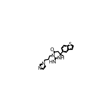 CC1(c2ccc3sccc3c2)CC(=O)N(CCCn2ccnc2)C(=N)N1